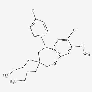 CCCCC1(CCCC)CSc2cc(OC)c(Br)cc2C(c2ccc(F)cc2)C1